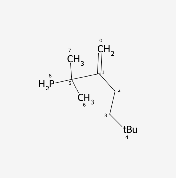 C=C(CCC(C)(C)C)C(C)(C)P